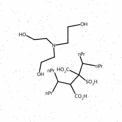 CCCC(CCC)C(C(=O)O)C(C(=O)O)(C(CCC)CCC)S(=O)(=O)O.OCCN(CCO)CCO